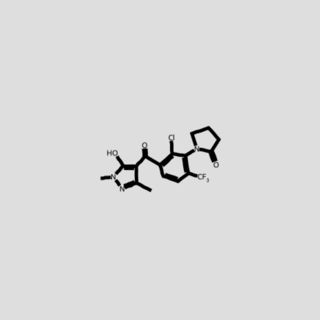 Cc1nn(C)c(O)c1C(=O)c1ccc(C(F)(F)F)c(N2CCCC2=O)c1Cl